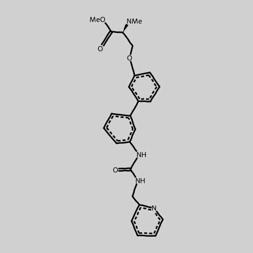 CN[C@@H](COc1cccc(-c2cccc(NC(=O)NCc3ccccn3)c2)c1)C(=O)OC